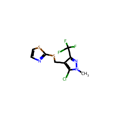 Cn1nc(C(F)(F)F)c(CSc2nccs2)c1Cl